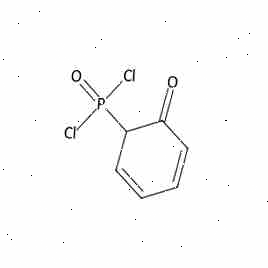 O=C1C=CC=CC1P(=O)(Cl)Cl